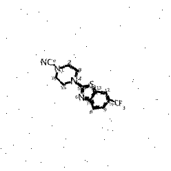 N#CN1CCN(c2nc3ccc(C(F)(F)F)cc3s2)CC1